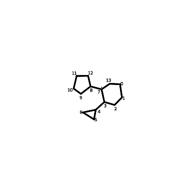 C1CCC(C2CC2)[C](C2CCCC2)C1